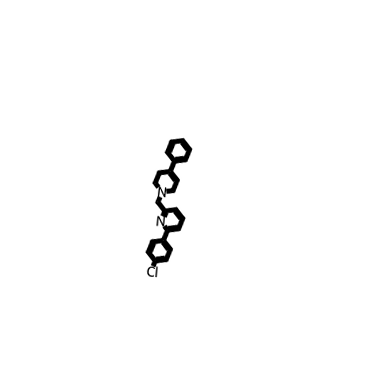 Clc1ccc(-c2cccc(CN3CC=C(c4ccccc4)CC3)n2)cc1